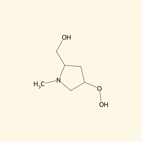 CN1CC(OO)CC1CO